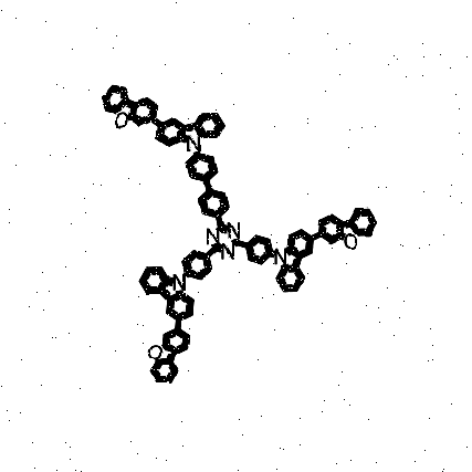 c1ccc2c(c1)oc1cc(-c3ccc4c(c3)c3ccccc3n4-c3ccc(-c4ccc(-c5nc(-c6ccc(-n7c8ccccc8c8cc(-c9ccc%10c(c9)oc9ccccc9%10)ccc87)cc6)nc(-c6ccc(-n7c8ccccc8c8cc(-c9ccc%10c(c9)oc9ccccc9%10)ccc87)cc6)n5)cc4)cc3)ccc12